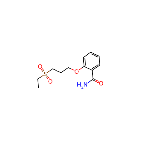 CCS(=O)(=O)CCCOc1ccccc1C(N)=O